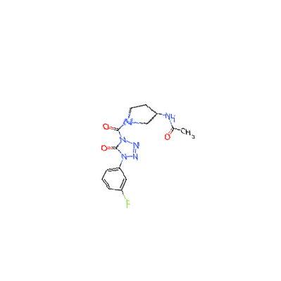 CC(=O)NC1CCN(C(=O)n2nnn(-c3cccc(F)c3)c2=O)C1